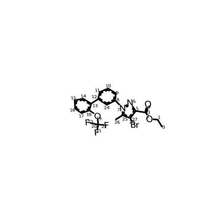 CCOC(=O)c1nn(-c2cccc(-c3ccccc3OC(F)(F)F)c2)c(C)c1Br